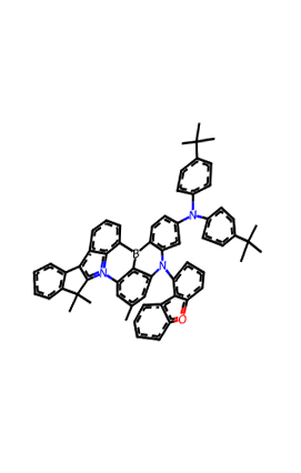 Cc1cc2c3c(c1)-n1c4c(c5cccc(c51)B3c1ccc(N(c3ccc(C(C)(C)C)cc3)c3ccc(C(C)(C)C)cc3)cc1N2c1cccc2oc3ccccc3c12)-c1ccccc1C4(C)C